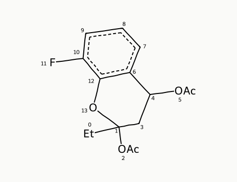 CCC1(OC(C)=O)CC(OC(C)=O)c2cccc(F)c2O1